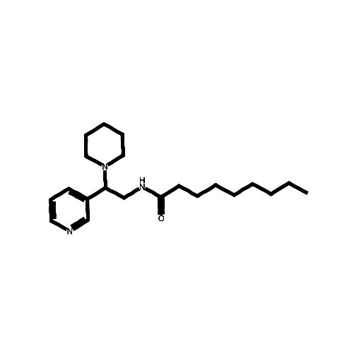 CCCCCCCCC(=O)NCC(c1cccnc1)N1CCCCC1